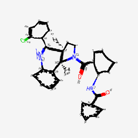 O=C(N[C@@H]1CCCC[C@@H]1C(=O)N1CC[C@@H]2[C@H](C3CC=CC=C3Cl)Nc3ccccc3[C@@H]21)c1ccccc1